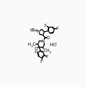 CC1CN(C(=O)C2CN(C(C)(C)C)CC2c2ccc(F)cc2F)CC(C)C1(O)c1ccc(F)c(F)c1.Cl